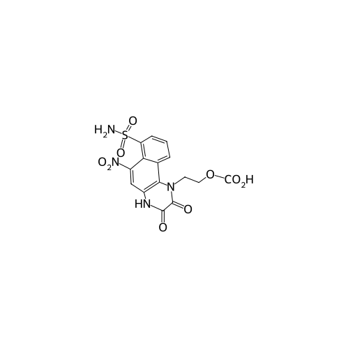 NS(=O)(=O)c1cccc2c1c([N+](=O)[O-])cc1[nH]c(=O)c(=O)n(CCOC(=O)O)c12